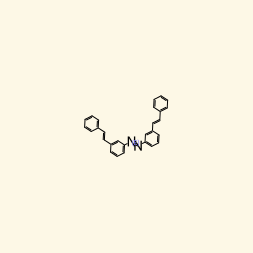 C(=Cc1cccc(/N=N/c2cccc(C=Cc3ccccc3)c2)c1)c1ccccc1